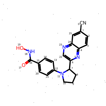 N#Cc1ccc2nc(C3CCCN3c3ccc(C(=O)NO)cc3)cnc2c1